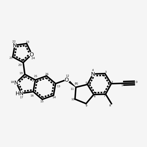 C#Cc1cnc2c(c1C)CC[C@H]2Oc1ccc2[nH]nc(-c3cnco3)c2c1